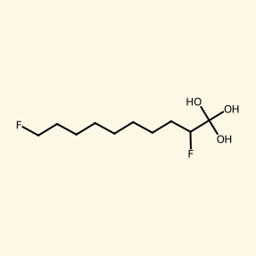 OC(O)(O)C(F)CCCCCCCCF